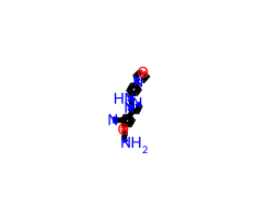 N#Cc1cc(-c2ccnc(Nc3ccc(N4CCOCC4)cc3)n2)ccc1OCCN